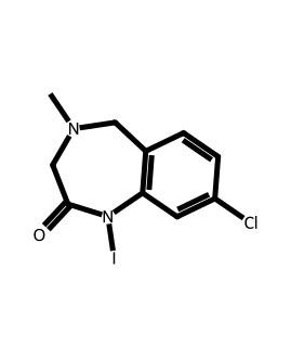 CN1CC(=O)N(I)c2cc(Cl)ccc2C1